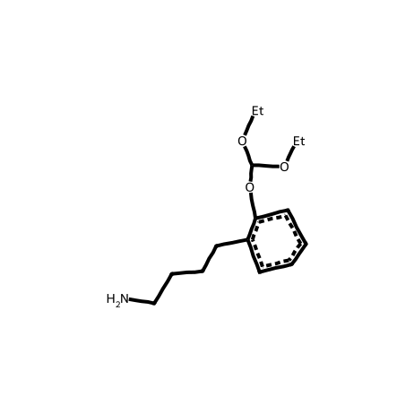 CCOC(OCC)Oc1ccccc1CCCCN